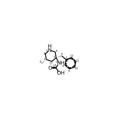 C[C@@H]1CNC[C@@](Cc2ccccc2)(NC(=O)O)C1